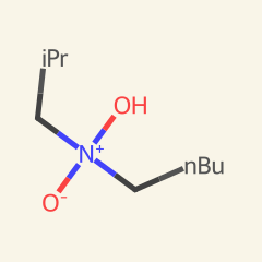 CCCCC[N+]([O-])(O)CC(C)C